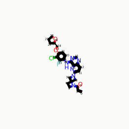 C=CC(=O)N1CCC12CN(c1ccc3ncnc(Nc4ccc(OC[C@H]5CCCO5)c(Cl)c4F)c3n1)C2